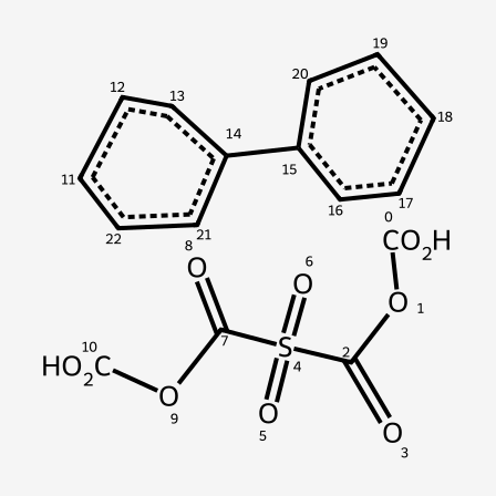 O=C(O)OC(=O)S(=O)(=O)C(=O)OC(=O)O.c1ccc(-c2ccccc2)cc1